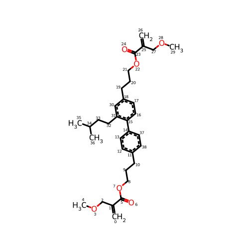 C=C(COC)C(=O)OCCCc1ccc(-c2ccc(CCCOC(=O)C(=C)COC)cc2CCC(C)C)cc1